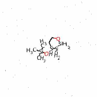 C[Si](C)(C)O[SiH]1CCO[SiH2][SiH2]1